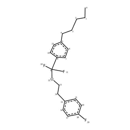 CCCCCc1ccc(C(F)(F)OCCc2ccc(F)cc2)cc1